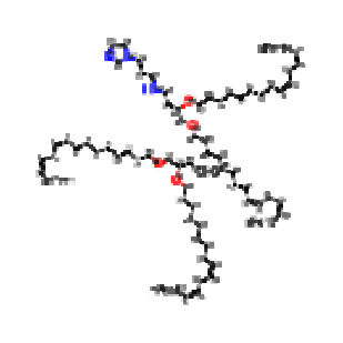 CCCCC/C=C\C/C=C\CCCCCCCCOCC(CC=O)OCCCCCCCC/C=C\C/C=C\CCCCC.CCCCC/C=C\C/C=C\CCCCCCCCOCC(CCNCCCn1ccnc1)OCCCCCCCC/C=C\C/C=C\CCCCC